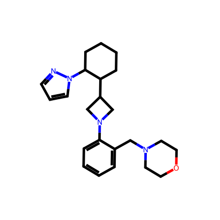 c1ccc(N2CC(C3CCCCC3n3cccn3)C2)c(CN2CCOCC2)c1